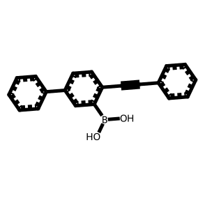 OB(O)c1cc(-c2ccccc2)ccc1C#Cc1ccccc1